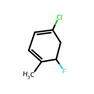 CC1=CC=C(Cl)CC1F